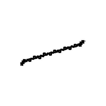 [N-]=[N+]=NCCOCCOCCOCCOCCOCCOCCOCCOCCOCCOCCN=[N+]=[N-]